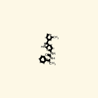 Cc1cc(-c2n[nH]c3nc(NC(=O)N[C@@H](C)c4ccccc4)ccc23)ccn1